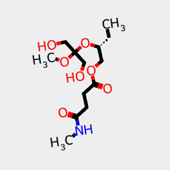 CC[C@H](COC(=O)CCC(=O)NC)OC(CO)(CO)OC